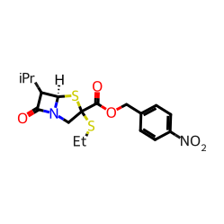 CCSC1(C(=O)OCc2ccc([N+](=O)[O-])cc2)CN2C(=O)C(C(C)C)[C@H]2S1